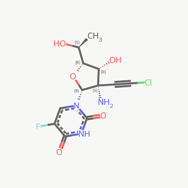 C[C@H](O)[C@H]1O[C@@H](n2cc(F)c(=O)[nH]c2=O)[C@](N)(C#CCl)[C@H]1O